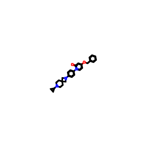 O=c1cc(OCc2ccccc2)ccn1-c1ccc(N2CC3(CCN(C4CC4)CC3)C2)cc1